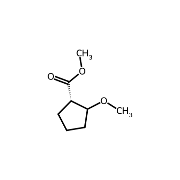 COC(=O)[C@H]1CCCC1OC